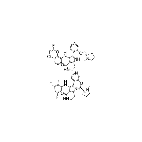 CN1CCC[C@H]1COc1cnccc1-c1[nH]c2c(c1Nc1cccc(Cl)c1OC(F)F)C(=O)NCC2.Cc1c(F)cc(F)cc1Nc1c(-c2ccncc2OC[C@@H]2CCCN2C)[nH]c2c1C(=O)NCC2